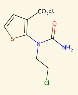 CCOC(=O)c1ccsc1N(CCCl)C(N)=O